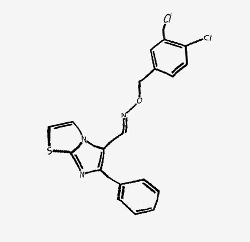 Clc1ccc(CON=Cc2c(-c3ccccc3)nc3sccn23)cc1Cl